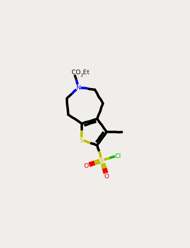 CCOC(=O)N1CCc2sc(S(=O)(=O)Cl)c(C)c2CC1